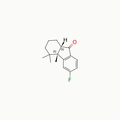 CC1(C)CCC[C@@H]2C(=O)c3ccc(F)cc3[C@@]21C